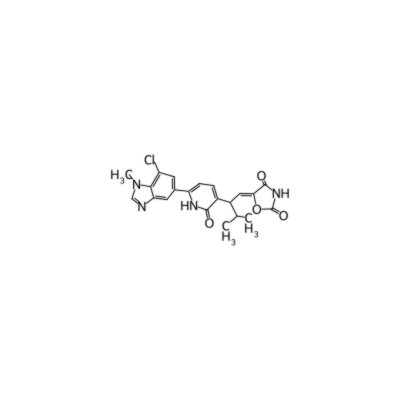 CC(C)C(C=C1OC(=O)NC1=O)c1ccc(-c2cc(Cl)c3c(c2)ncn3C)[nH]c1=O